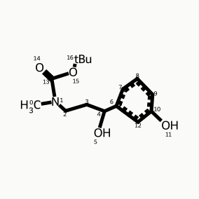 CN(CCC(O)c1cccc(O)c1)C(=O)OC(C)(C)C